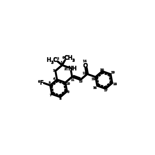 CC1(C)Cc2c(F)cccc2C(=CC(=O)c2ccccc2)N1